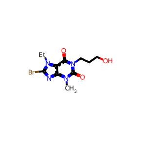 CCn1c(Br)nc2c1c(=O)n(CCCO)c(=O)n2C